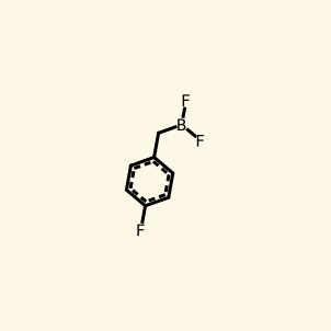 FB(F)Cc1ccc(F)cc1